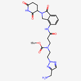 CC(C)(C)OC(=O)N(CCC(=O)Nc1cccc2c1CN(C1CCC(=O)NC1=O)C2=O)CCn1ncc(CN)n1